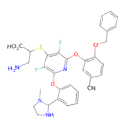 CN1CCNC1c1ccccc1Oc1nc(Oc2cc(C#N)ccc2OCc2ccccc2)c(F)c(SC(CN)C(=O)O)c1F